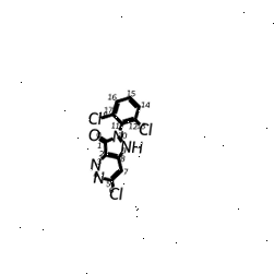 O=c1c2nnc(Cl)cc2[nH]n1-c1c(Cl)cccc1Cl